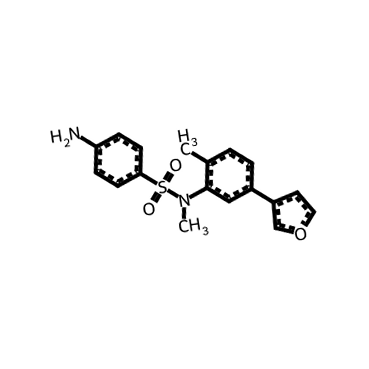 Cc1ccc(-c2ccoc2)cc1N(C)S(=O)(=O)c1ccc(N)cc1